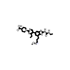 CCNC(=O)Nc1nc2cc(-c3cnc(N4CCC(C(=O)O)CC4)nc3CC)cc(CC/C=N\OC)c2s1